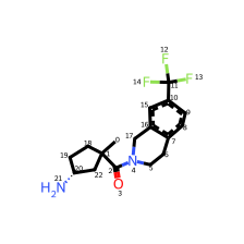 CC1(C(=O)N2CCc3ccc(C(F)(F)F)cc3C2)CC[C@@H](N)C1